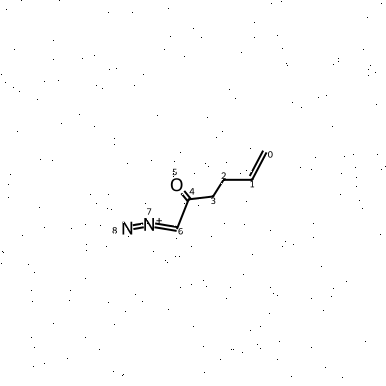 C=CCCC(=O)C=[N+]=[N-]